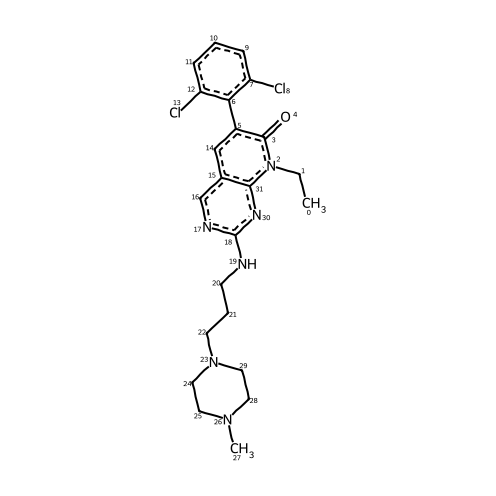 CCn1c(=O)c(-c2c(Cl)cccc2Cl)cc2cnc(NCCCN3CCN(C)CC3)nc21